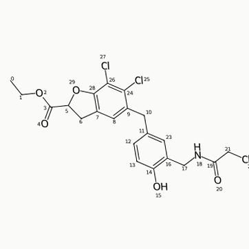 CCOC(=O)C1Cc2cc(Cc3ccc(O)c(CNC(=O)CCl)c3)c(Cl)c(Cl)c2O1